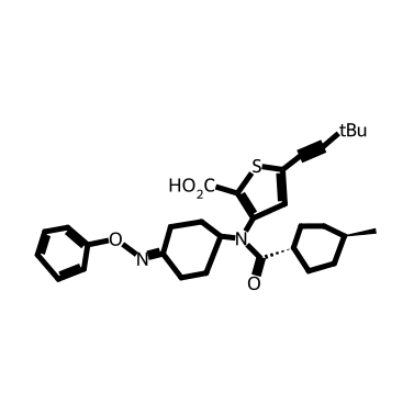 CC(C)(C)C#Cc1cc(N(C(=O)[C@H]2CC[C@H](C)CC2)C2CCC(=NOc3ccccc3)CC2)c(C(=O)O)s1